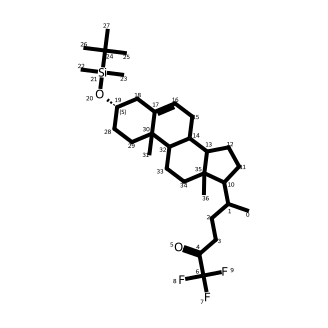 CC(CCC(=O)C(F)(F)F)C1CCC2C3CC=C4C[C@@H](O[Si](C)(C)C(C)(C)C)CCC4(C)C3CCC12C